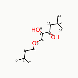 CC(C)CCOCC(O)C(O)CC(C)C